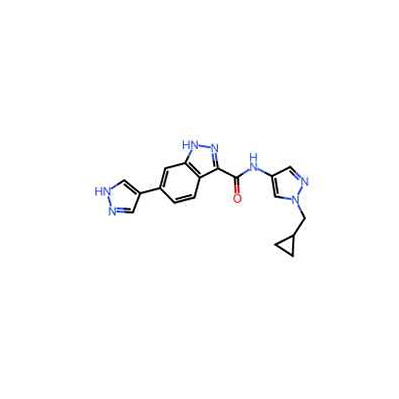 O=C(Nc1cnn(CC2CC2)c1)c1n[nH]c2cc(-c3cn[nH]c3)ccc12